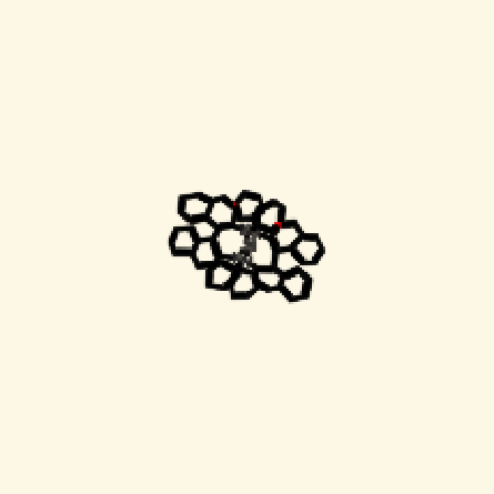 c1ccc(N2c3ccc4ccccc4c3-c3c(ccc4ccccc34)N(c3ccccc3)[Si]23N(c2ccccc2)c2ccc4ccccc4c2-c2c(ccc4ccccc24)N3c2ccccc2)cc1